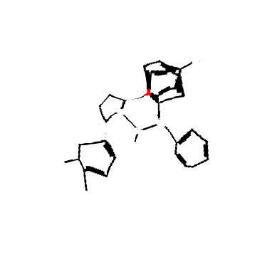 CC1CC([C@@H]2CC[C@@H](c3ccc(C(C)(C)C)cc3)P2N(C)P(c2ccccc2)c2ccccc2)=CC=C1C(C)(C)C